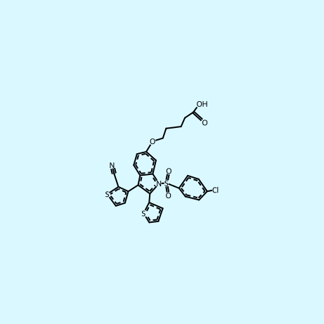 N#Cc1sccc1-c1c(-c2cccs2)n(S(=O)(=O)c2ccc(Cl)cc2)c2cc(OCCCCC(=O)O)ccc12